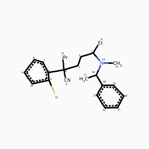 CCC(CCC(C#N)(c1ccccc1F)C(C)C)N(C)C(C)c1ccccc1